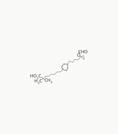 CC(C)(CCCCCCc1ccc(CCCCC2(OC=O)CC2)cc1)C(=O)O